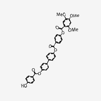 COc1cc(OC)c(C(=O)Oc2ccc(C(=O)Oc3ccc(-c4ccc(OC(=O)c5ccc(O)cc5)cc4)cc3)cc2)cc1OC